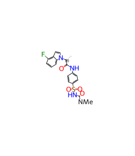 CNC(=O)NS(=O)(=O)c1ccc(NC(=O)[C@@H](C)n2ccc3c(F)cccc32)cc1